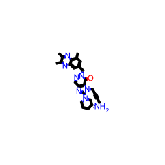 CC#CCn1c(N2CCC[C@@H](N)C2)nc2cnn(Cc3cc(C)c4nc(C)c(C)nc4c3)c(=O)c21